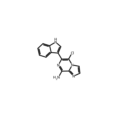 Nc1nc(-c2c[nH]c3ccccc23)c(Cl)n2ccnc12